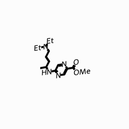 CCN(CC)CCCC(C)Nc1cnc(C(=O)OC)cn1